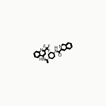 C=C(Nc1cc(C(F)(F)F)nc2ccccc12)[C@H]1CC[C@@H](NC(=O)c2cc3ccccc3cn2)CC1